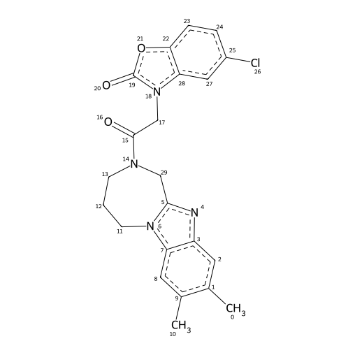 Cc1cc2nc3n(c2cc1C)CCCN(C(=O)Cn1c(=O)oc2ccc(Cl)cc21)C3